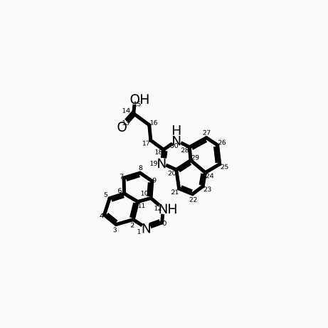 C1=Nc2cccc3cccc(c23)N1.O=C(O)CCC1=Nc2cccc3cccc(c23)N1